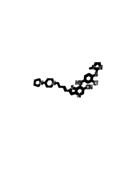 Cn1ccnc1Sc1ccc(Nc2c(C#N)cnc3cc(C=CCCN4CCC(N5CCCC5)CC4)sc23)cc1Cl